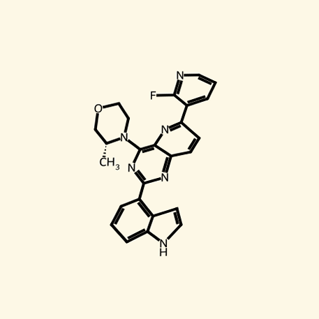 C[C@@H]1COCCN1c1nc(-c2cccc3[nH]ccc23)nc2ccc(-c3cccnc3F)nc12